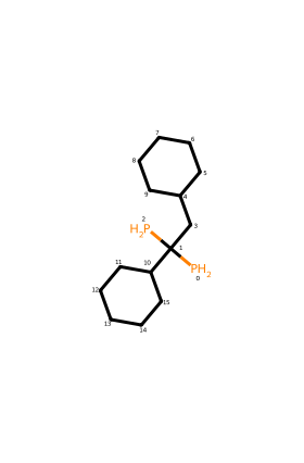 PC(P)(CC1CCCCC1)C1CCCCC1